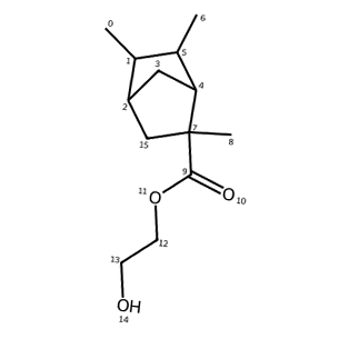 CC1C2CC(C1C)C(C)(C(=O)OCCO)C2